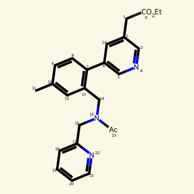 CCOC(=O)Cc1cncc(-c2ccc(C)cc2CN(Cc2ccccn2)C(C)=O)c1